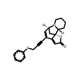 O=C1C=C2C(C#CCSc3ccccc3)=C[C@@H]3C[C@@]2(O1)[C@H]1CCCCN31